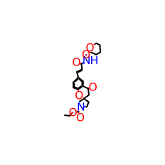 CCOC(=O)N1CCC2(CC(=O)c3cc(C=CC(=O)NOC4CCCCO4)ccc3O2)C1